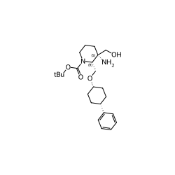 CC(C)(C)OC(=O)N1CCC[C@@](N)(CO)[C@@H]1CO[C@H]1CC[C@@H](c2ccccc2)CC1